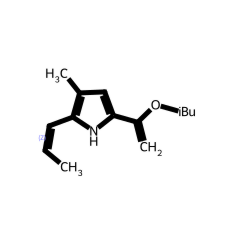 C=C(OC(C)CC)c1cc(C)c(/C=C\C)[nH]1